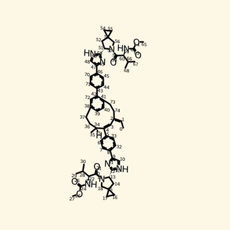 C/C=C1\C=C(\c2ccc(-c3c[nH]c([C@@H]4CC5(CC5)CN4C(=O)[C@@H](NC(=O)OC)C(C)C)n3)cc2)[C@H](C)CCc2ccc(c(-c3ccc(-c4c[nH]c([C@@H]5CC6(CC6)CN5C(=O)[C@@H](NC(=O)OC)C(C)C)n4)cc3)c2)CC1